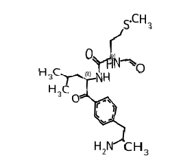 CSCC[C@@H](NC=O)C(=O)N[C@H](CC(C)C)C(=O)c1ccc(CC(C)N)cc1